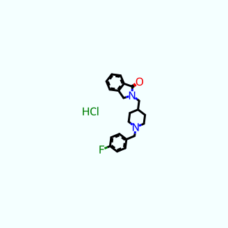 Cl.O=C1c2ccccc2CN1CC1CCN(Cc2ccc(F)cc2)CC1